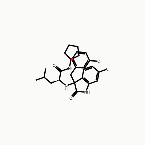 CC(C)C[C@H](NC1(Cc2cccc(Cl)c2)C(=O)Nc2cc(Cl)ccc21)C(=O)NC1CCCC1